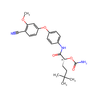 COc1cc(Oc2ccc(NC(=O)[C@@H](CCC(C)(C)C)OC(N)=O)cc2)ccc1C#N